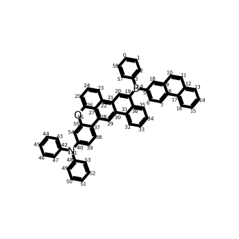 c1ccc(B(c2ccc3c(ccc4ccccc43)c2)c2cc3c4cccc5c4c(cc3c3ccccc23)-c2ccc(N(c3ccccc3)c3ccccc3)cc2O5)cc1